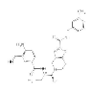 CC[C@@H](NC(=O)c1ccc(N)c(C=N)c1)C(=O)N1CCc2sc(C(=O)NCc3cccc(C)c3)cc2C1